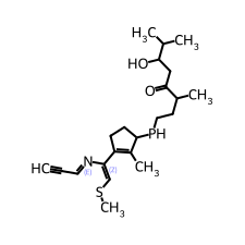 C#C/C=N/C(=C\SC)C1=C(C)C(PCCC(C)C(=O)CC(O)C(C)C)CC1